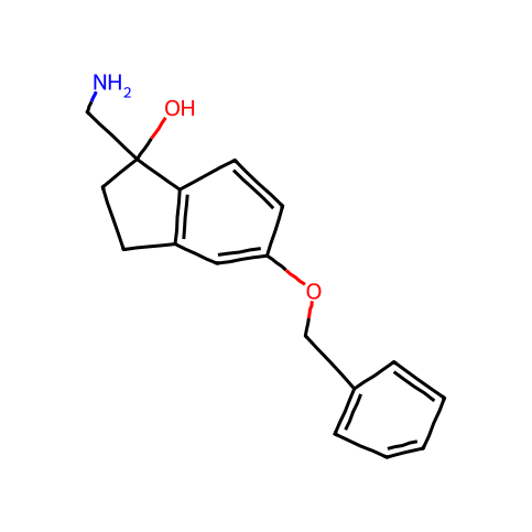 NCC1(O)CCc2cc(OCc3ccccc3)ccc21